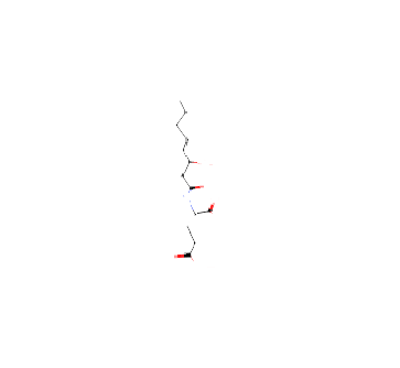 CCCCCC(O)CC(=O)N[C@@H](CCC(=O)O)C(=O)O